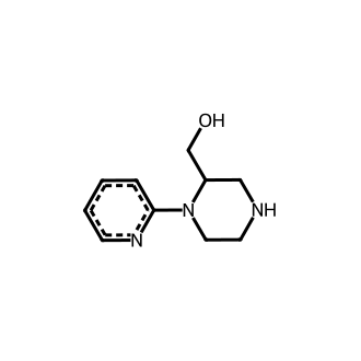 OCC1CNCCN1c1ccccn1